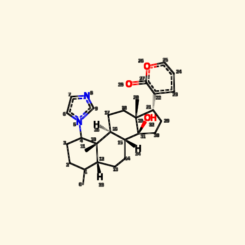 CC1CCC(n2ccnc2)[C@@]2(C)[C@@H]1CC[C@@H]1[C@@H]2CC[C@]2(C)[C@H](c3cccoc3=O)CC[C@]12O